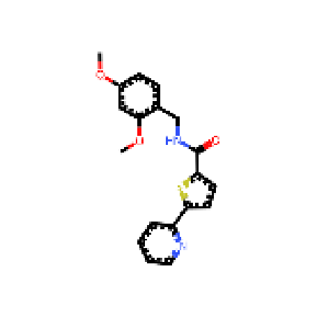 COc1ccc(CNC(=O)c2ccc(-c3ccccn3)s2)c(OC)c1